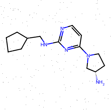 N[C@H]1CCN(c2ccnc(NCC3CCCC3)n2)C1